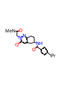 CNC(=O)Cn1nc2c(cc1=O)CC(NC(=O)c1ccc(C(C)C)cc1)CC2